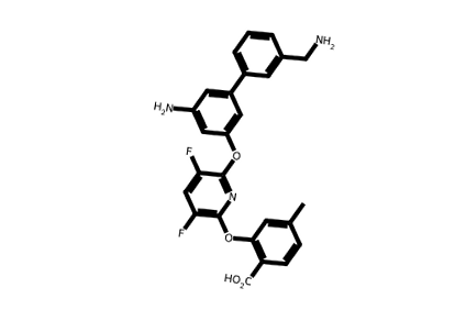 Cc1ccc(C(=O)O)c(Oc2nc(Oc3cc(N)cc(-c4cccc(CN)c4)c3)c(F)cc2F)c1